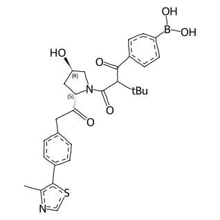 Cc1ncsc1-c1ccc(CC(=O)[C@@H]2C[C@@H](O)CN2C(=O)C(C(=O)c2ccc(B(O)O)cc2)C(C)(C)C)cc1